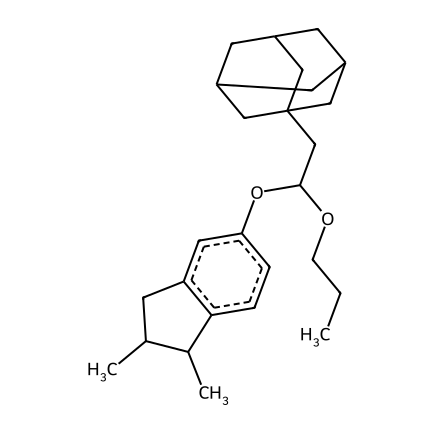 CCCOC(CC12CC3CC(CC(C3)C1)C2)Oc1ccc2c(c1)CC(C)C2C